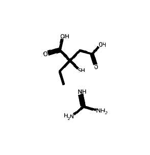 CCC(S)(CC(=O)O)C(=O)O.N=C(N)N